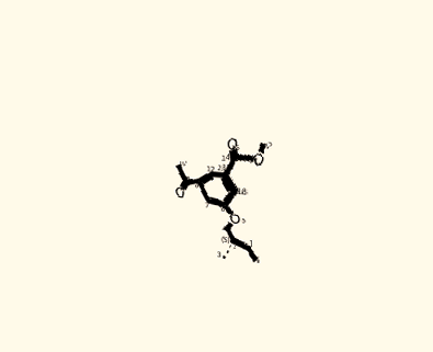 CC[C@H](C)COc1cc(C(C)=O)cc(C(=O)OC)c1